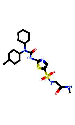 CNC(=O)CNS(=O)(=O)c1cnc(NC(=O)N(C2CCCCC2)C2CCC(C)CC2)s1